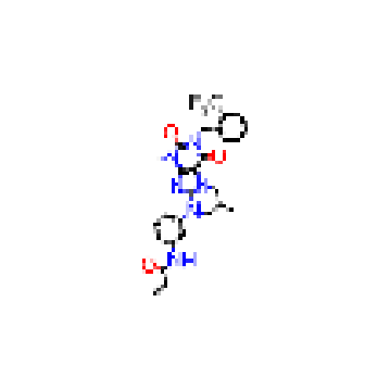 C=CC(=O)Nc1cccc(N2CC(C)Cn3c2nc2c3c(=O)n(Cc3ccccc3C(F)(F)F)c(=O)n2C)c1